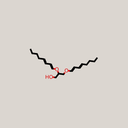 CCCCC=CC=COCC(CO)OC=CC=CCCCC